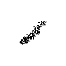 Cc1cc2c(Oc3ccc(NC(=O)c4c(C)n(C)n(-c5ccccc5)c4=O)cc3F)ccnc2cc1OCCCC1(O)CC1